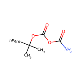 CCCCCC(C)(C)OC(=O)OC(N)=O